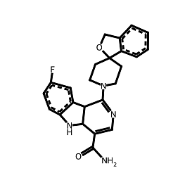 NC(=O)C1=CN=C(N2CCC3(CC2)OCc2ccccc23)C2c3cc(F)ccc3NC12